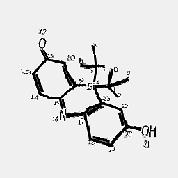 CC(C)(C)[Si]1(C(C)(C)C)C2=CC(=O)C=CC2=Nc2ccc(O)cc21